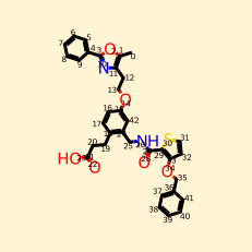 Cc1oc(-c2ccccc2)nc1CCOc1ccc(CCC(=O)O)c(CNC(=O)c2sccc2OCc2ccccc2)c1